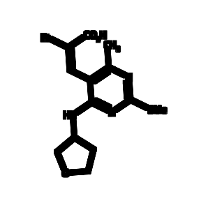 CCC(=Cc1c(C)nc(SC)nc1NC1CCOC1)C(=O)O